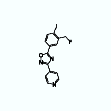 FCc1cc(-c2nc(-c3ccncc3)no2)ccc1I